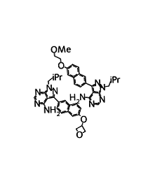 CC(C)Cn1nc(-c2ccc3cc(OC4COC4)ccc3c2)c2c(N)ncnc21.COCCOc1ccc2cc(-c3nn(CC(C)C)c4ncnc(N)c34)ccc2c1